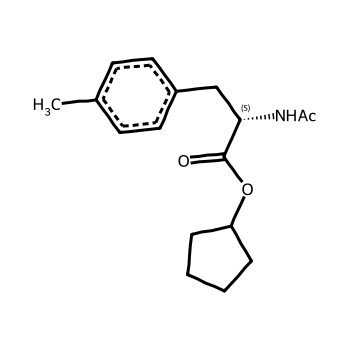 CC(=O)N[C@@H](Cc1ccc(C)cc1)C(=O)OC1CCCC1